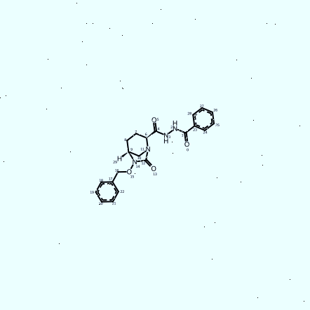 O=C(NNC(=O)[C@@H]1CC[C@@H]2CN1C(=O)N2OCc1ccccc1)c1ccccc1